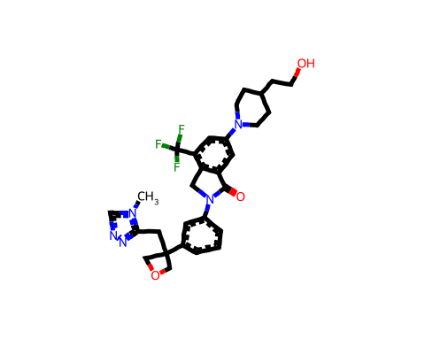 Cn1cnnc1CC1(c2cccc(N3Cc4c(cc(N5CCC(CCO)CC5)cc4C(F)(F)F)C3=O)c2)COC1